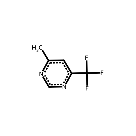 Cc1cc(C(F)(F)F)ncn1